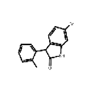 Cc1ccccc1C1C(=O)Nc2cc(Br)ccc21